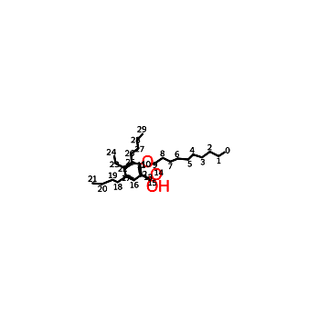 CCCCCCCCCCOc1c(C(=O)O)cc(CCCC)c(CC)c1CCCC